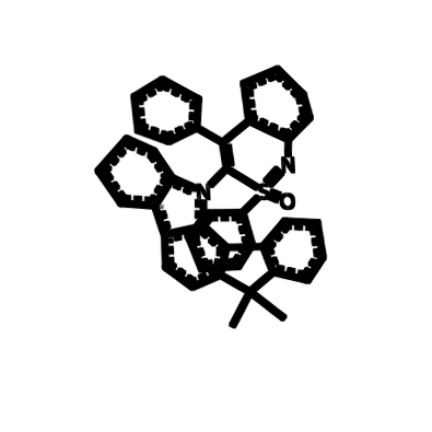 CC1(C)c2ccccc2-c2c1ccc1c3ccccc3n(C3=C(c4ccccc4)c4ccccc4N=S3(=O)c3ccccc3)c21